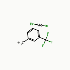 [Br][Mg][Br].[CH2]c1cccc(C(F)(F)F)c1